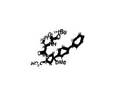 CO[C@@]1(c2ccc(-c3ccccc3)cc2)C[C@@H](C(=O)O)N(C(=O)[C@H](CC(C)C)NC(=O)OC(C)(C)C)C1